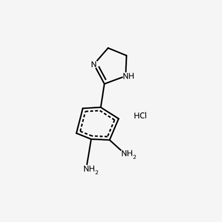 Cl.Nc1ccc(C2=NCCN2)cc1N